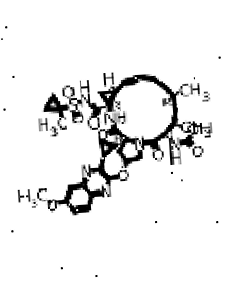 COc1ccc2nc(O[C@@H]3C[C@H]4C(=O)N[C@]5(C(=O)NS(=O)(=O)C6(C)CC6)C[C@H]5C=CCC[C@@H](C)C[C@@H](C)[C@H](NC(=O)O)C(=O)N4C3)c(C3CC3)nc2c1